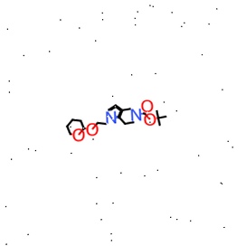 CC(C)(C)OC(=O)N1CCc2c(ccn2CCOC2CCCCO2)C1